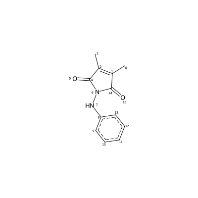 CC1=C(C)C(=O)N(Nc2ccccc2)C1=O